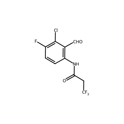 O=Cc1c(NC(=O)CC(F)(F)F)ccc(F)c1Cl